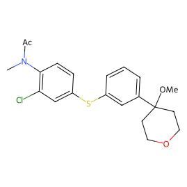 COC1(c2cccc(Sc3ccc(N(C)C(C)=O)c(Cl)c3)c2)CCOCC1